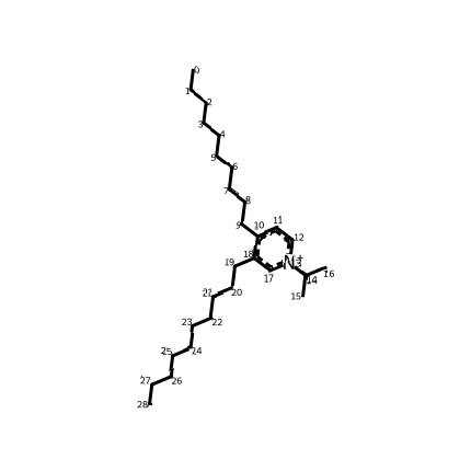 CCCCCCCCCCc1cc[n+](C(C)C)cc1CCCCCCCCCC